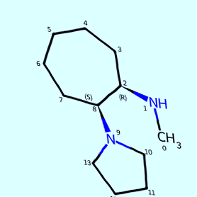 CN[C@@H]1CCCCC[C@@H]1N1CCCC1